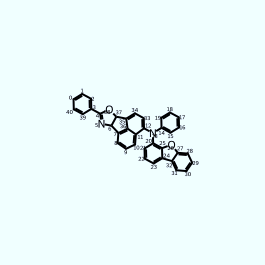 c1ccc(C2=NC3c4cccc5c(N(c6ccccc6)c6cccc7c6oc6ccccc67)ccc(c45)C3O2)cc1